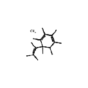 C.CC(C)=C(C)C1(C)C(C)=C(C)C(C)=C(C)C1C